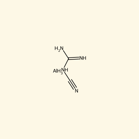 N#CNC(=N)N.[AlH3]